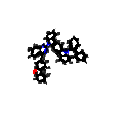 c1ccc2c(c1)-c1ccccc1-n1c3cc4c5ccccc5n(-c5nc(-c6ccc7c(c6)oc6ccccc67)c6ccccc6n5)c4cc3c3cccc-2c31